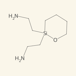 NCC[Si]1(CCN)CCCCO1